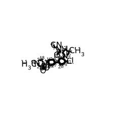 C[C@H]1C[C@@H](C(=O)NCC#N)N(c2cc(-c3ccc(N4CCN(C)CS4(=O)=O)cc3)ccc2Cl)C1